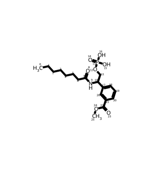 CCCCCCCC(=O)NC(COP(=O)(O)O)c1cccc(C(=O)OC)c1